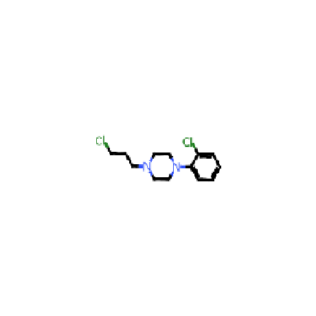 ClCCCN1CCN(c2ccccc2Cl)CC1